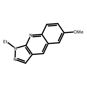 CCn1ncc2cc3cc(OC)ccc3nc21